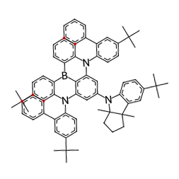 CC(C)(C)c1ccc(N2c3ccccc3B3c4ccc(C(C)(C)C)cc4N(c4ccc(C(C)(C)C)cc4-c4ccccc4)c4cc(N5c6ccc(C(C)(C)C)cc6C6(C)CCCC56C)cc2c43)c(-c2ccccc2)c1